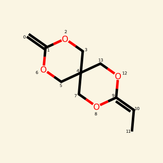 C=C1OCC2(CO1)COC(=CC)OC2